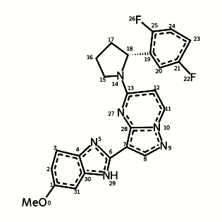 COc1ccc2nc(-c3cnn4ccc(N5CCC[C@@H]5c5cc(F)ccc5F)nc34)[nH]c2c1